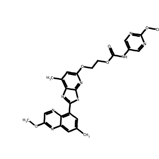 COc1cnc2c(-c3nc4c(C)cc(OCCOC(=O)Nc5cnc(OC)nc5)nc4s3)cc(C)cc2n1